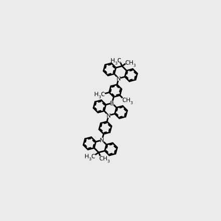 Cc1cc(N2c3ccccc3C(C)(C)c3ccccc32)cc(C)c1B1c2ccccc2N(c2ccc(N3c4ccccc4C(C)(C)c4ccccc43)cc2)c2ccccc21